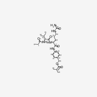 CCC(=O)N[C@H](C(=O)N[C@@H](CCCNC(N)=O)C(=O)Nc1ccc(COC(=O)C(C)C)cc1)C(C)C